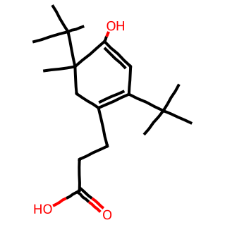 CC(C)(C)C1=C(CCC(=O)O)CC(C)(C(C)(C)C)C(O)=C1